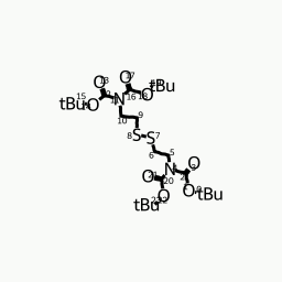 CC(C)(C)OC(=O)N(CCSSCCN(C(=O)OC(C)(C)C)C(=O)OC(C)(C)C)C(=O)OC(C)(C)C